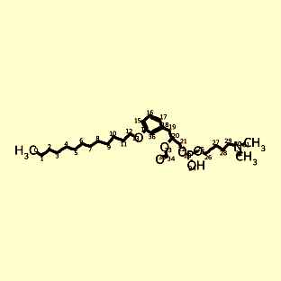 CCCCCCCCCCCCCOc1cccc(CC(COP(O)OCCCCN(C)C)OC=O)c1